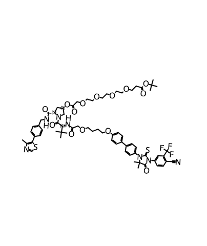 Cc1ncsc1-c1ccc(CNC(=O)[C@@H]2C[C@@H](OC(=O)COCCOCCOCCOCCC(=O)OC(C)(C)C)CN2C(=O)[C@@H](NC(=O)COCCCCOc2ccc(-c3ccc(N4C(=S)N(c5ccc(C#N)c(C(F)(F)F)c5)C(=O)C4(C)C)cc3)cc2)C(C)(C)C)cc1